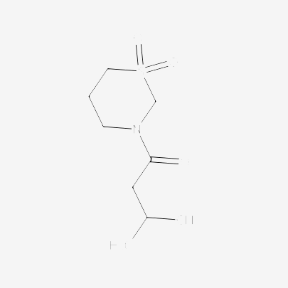 CC(C)CC(=O)N1CCCS(=O)(=O)C1